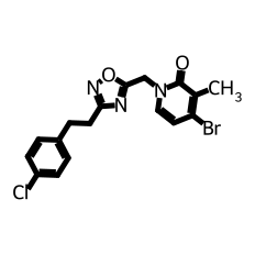 Cc1c(Br)ccn(Cc2nc(CCc3ccc(Cl)cc3)no2)c1=O